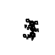 O=[N+]([O-])c1cc(C2CC(c3cc(Cl)cc(Cl)c3)(C(F)(F)F)ON2)ccc1F